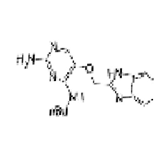 CCCCNc1nc(N)ncc1OCc1nc2ccccc2[nH]1